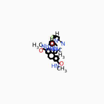 CNC(=O)c1ccc2c(c1)CCc1cc(C(=O)NC)ccc1C2(C[C@H](C)NCC(=O)N1[C@H](C#N)C[C@@H]2C[C@@H]21)C(=N)Nc1ccc(F)cc1